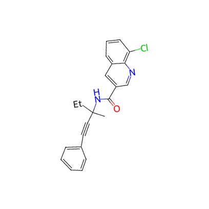 CCC(C)(C#Cc1ccccc1)NC(=O)c1cnc2c(Cl)cccc2c1